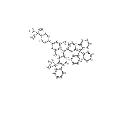 Cc1cc(-c2ccc(C(C)(C)C)cc2)cc(C)c1N(c1ccc2c(c1)C(C)(C)c1ccccc1-2)c1ccc2c(c1)C(c1ccccc1)(c1ccccc1)c1ccccc1-2